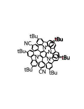 CC(C)(C)c1ccc2c(c1)c1cc(C(C)(C)C)ccc1n2-c1c(-c2ccc(C#N)cc2)c(-n2c3ccc(C(C)(C)C)cc3c3cc(C(C)(C)C)ccc32)c(-n2c3ccc(C(C)(C)C)cc3c3cc(C(C)(C)C)ccc32)c(-n2c3ccc(C(C)(C)C)cc3c3cc(C(C)(C)C)ccc32)c1-c1ccc(C#N)cc1